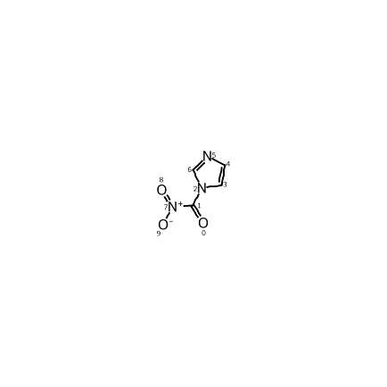 O=C(n1ccnc1)[N+](=O)[O-]